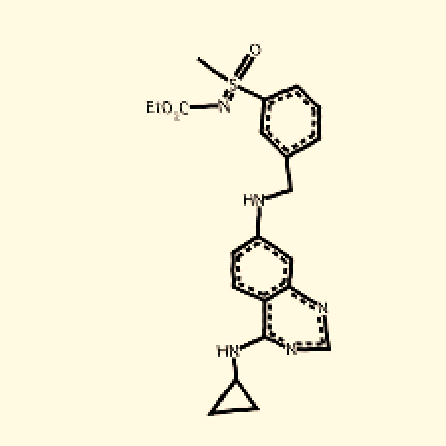 CCOC(=O)N=S(C)(=O)c1cccc(CNc2ccc3c(NC4CC4)ncnc3c2)c1